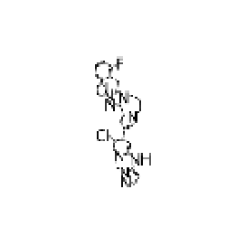 Cn1nccc1Nc1cc(-c2cc3n(c2)CCCn2c(Cc4c(F)cccc4Cl)nnc2-3)c(Cl)cn1